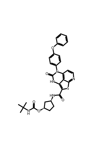 CC(C)(C)NC(=O)O[C@@H]1CC[C@H](NC(=O)c2sc3nccc4c3c2NC(=O)N4c2ccc(Oc3ccccc3)cc2)C1